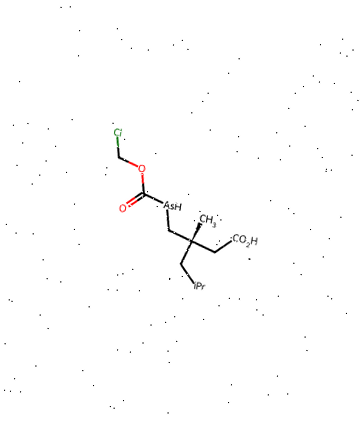 CC(C)C[C@](C)(C[AsH]C(=O)OCCl)CC(=O)O